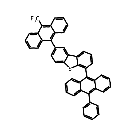 FC(F)(F)c1c2ccccc2c(-c2ccc3sc4c(-c5c6ccccc6c(-c6ccccc6)c6ccccc56)cccc4c3c2)c2ccccc12